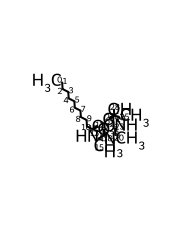 CCCCCCCCCCCC(=O)NC(C)C(=O)NC(C)C(=O)NC(C)C(=O)O